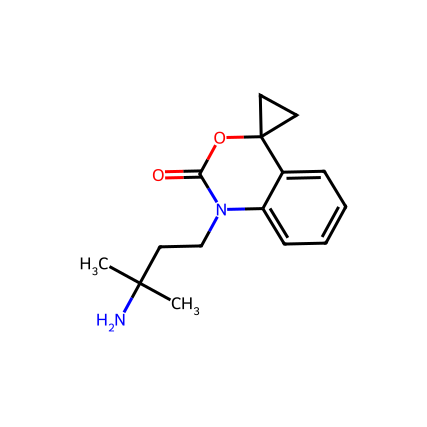 CC(C)(N)CCN1C(=O)OC2(CC2)c2ccccc21